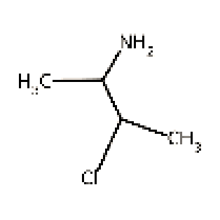 CC(N)C(C)Cl